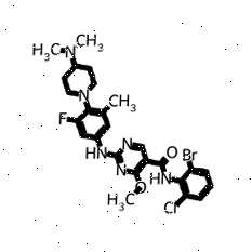 COc1nc(Nc2cc(C)c(N3CCC(N(C)C)CC3)c(F)c2)ncc1C(=O)Nc1c(Cl)cccc1Br